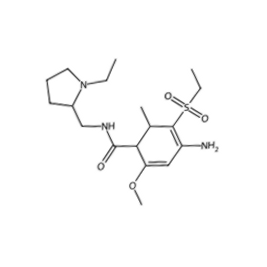 CCN1CCCC1CNC(=O)C1C(OC)=CC(N)=C(S(=O)(=O)CC)C1C